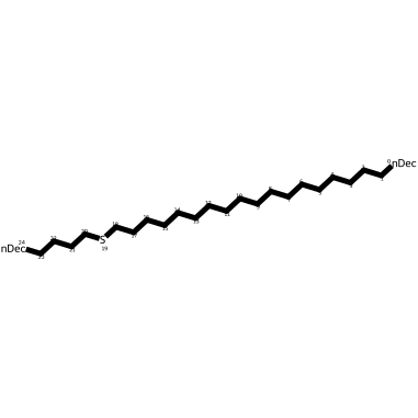 CCCCCCCCCCCCCCCCCCCCCCCCCCCCSCCCCCCCCCCCCCC